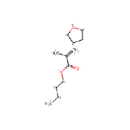 C1CCOC1.C=C(C)C(=O)OCCCC